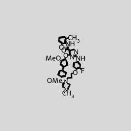 COc1ccc(-c2ccc(Oc3nc(Nc4ccc(OCCCN5CCN(C)CC5)c(F)c4)ncc3C(=O)Nc3c(C)cccc3C)c(OC)c2)cc1